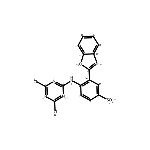 O=S(=O)(O)c1ccc(Nc2nc(Cl)nc(Cl)n2)c(-c2nc3ccccc3o2)c1